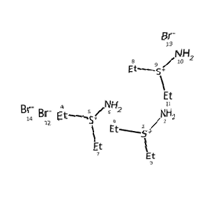 CC[S+](N)CC.CC[S+](N)CC.CC[S+](N)CC.[Br-].[Br-].[Br-]